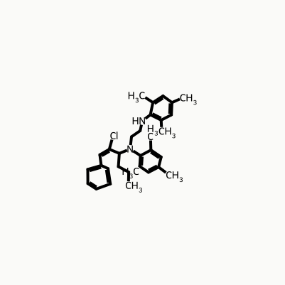 CCCC(/C(Cl)=C\c1ccccc1)N(CCNc1c(C)cc(C)cc1C)c1c(C)cc(C)cc1C